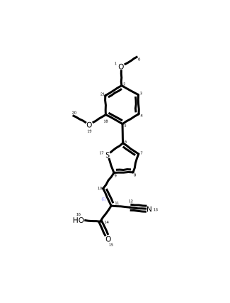 COc1ccc(-c2ccc(/C=C(\C#N)C(=O)O)s2)c(OC)c1